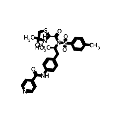 Cc1ccc(S(=O)(=O)N(C(=O)[C@H]2NC(C)(C)CS2)[C@@H](Cc2ccc(NC(=O)c3ccncc3)cc2)C(=O)O)cc1